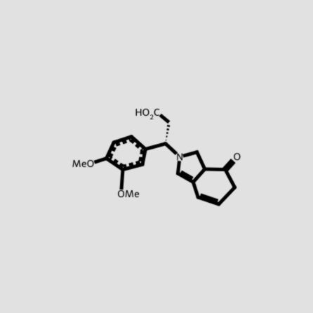 COc1ccc([C@H](CC(=O)O)N2C=C3C=CCC(=O)C3C2)cc1OC